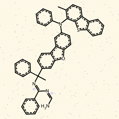 Cc1ccc2c(sc3ccccc32)c1N(c1ccccc1)c1ccc2oc3cc(C(C)(/N=C(\N=C/N)c4ccccc4)c4ccccc4)ccc3c2c1